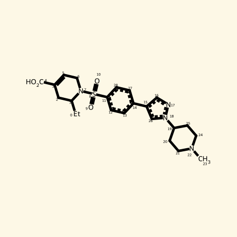 CCC1CC(C(=O)O)=CCN1S(=O)(=O)c1ccc(-c2cnn(C3CCN(C)CC3)c2)cc1